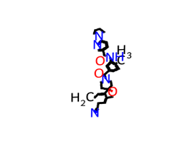 C=C/C=C1\C(=C/CC#N)COC12CCN(C(=O)c1ccc(C)c(NC(=O)c3ccc(N4CCCC4)nc3)c1)CC2